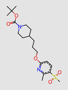 Cc1nc(OCCCC2CCN(C(=O)OC(C)(C)C)CC2)ccc1S(C)(=O)=O